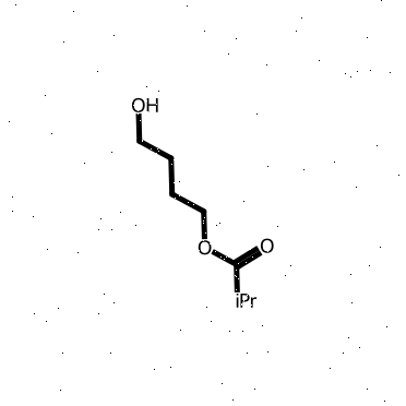 CC(C)C(=O)OCCCCO